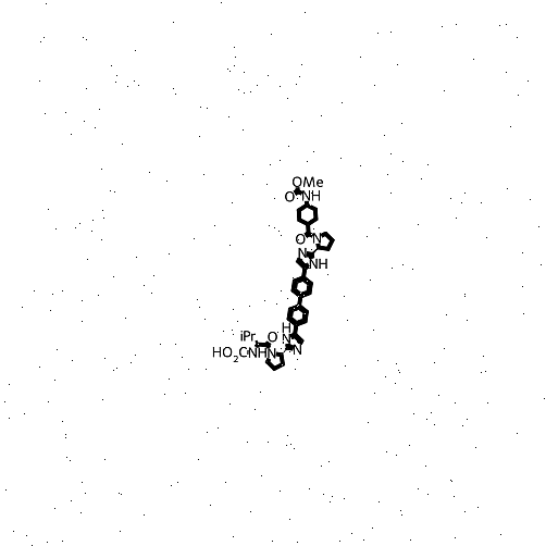 COC(=O)NC1CCC(C(=O)N2CCC[C@H]2c2ncc(-c3ccc(-c4ccc(-c5cnc([C@@H]6CCCN6C(=O)[C@@H](NC(=O)O)C(C)C)[nH]5)cc4)cc3)[nH]2)CC1